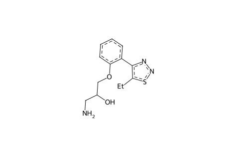 CCc1snnc1-c1ccccc1OCC(O)CN